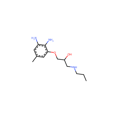 CCCNCC(O)COc1cc(C)cc(N)c1N